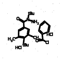 Cc1cc(C(=O)N(N)C(C)(C)C)cc(C)c1C(C)(C)C.Cl.Cl.O=C(Cl)c1ccccc1